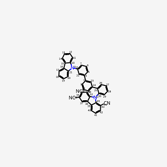 N#Cc1cc(-c2cccc(-n3c4ccccc4c4ccccc43)c2)cc(-c2ccccc2-n2c3ccc(C#N)cc3c3cccc(C#N)c32)c1